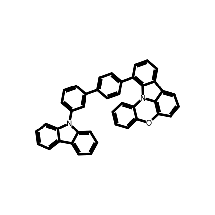 c1cc(-c2ccc(-c3cccc4c5cccc6c5n(c34)-c3ccccc3O6)cc2)cc(-n2c3ccccc3c3ccccc32)c1